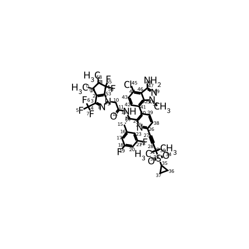 C[C@@H]1c2c(C(F)(F)F)nn(CC(=O)N[C@@H](Cc3cc(F)cc(F)c3)c3nc(C#CC(C)(C)S(=O)(=O)C4CC4)ccc3-c3ccc(Cl)c4c(N)nn(C)c34)c2C(F)(F)[C@@H]1C